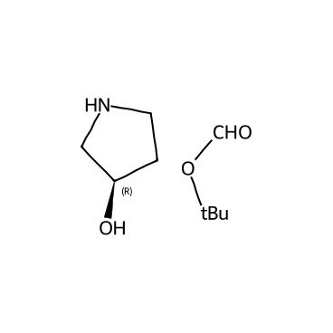 CC(C)(C)OC=O.O[C@@H]1CCNC1